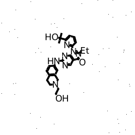 CCn1c(=O)c2cnc(Nc3ccc4c(c3)CN(CCO)CC4)nc2n1-c1cccc(C(C)(C)O)n1